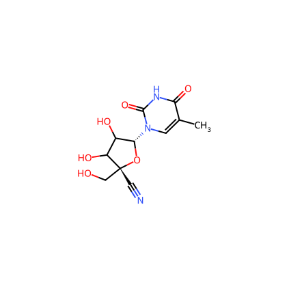 Cc1cn([C@@H]2O[C@](C#N)(CO)C(O)C2O)c(=O)[nH]c1=O